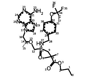 CCCOC(=O)C(C)(C)CP(=O)(CO[C@H](C)Cn1cnc2c(N)ncnc21)NCc1ccc(OC(F)(F)F)cc1